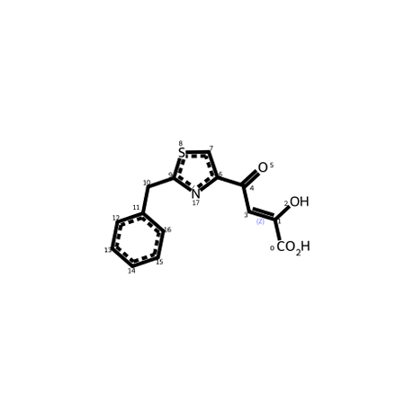 O=C(O)/C(O)=C/C(=O)c1csc(Cc2ccccc2)n1